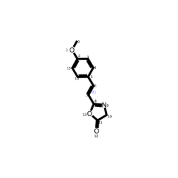 COc1ccc(/C=C/C2=NCC(=O)O2)cc1